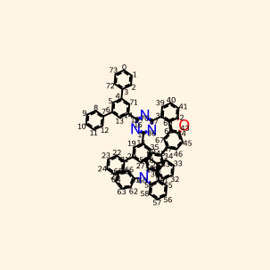 c1ccc(-c2cc(-c3ccccc3)cc(-c3nc(-c4cc(-c5ccccc5)cc(-c5ccccc5)c4)nc(-c4cccc5oc6ccc(-c7ccc8c(c7)c7ccccc7n8-c7ccccc7)cc6c45)n3)c2)cc1